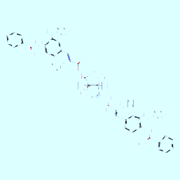 COc1cc(/C=C(\C#N)C(=O)O[C@H]2CO[C@H]3[C@@H]2OC[C@H]3OC(=O)/C(C#N)=C/c2ccc(OC(=O)c3ccccc3)c(OC)c2)ccc1OC(=O)c1ccccc1